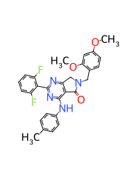 COc1ccc(CN2Cc3nc(-c4c(F)cccc4F)nc(Nc4ccc(C)cc4)c3C2=O)c(OC)c1